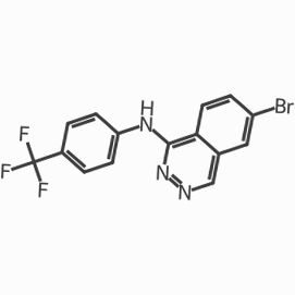 FC(F)(F)c1ccc(Nc2nncc3cc(Br)ccc23)cc1